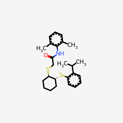 Cc1cccc(C)c1NC(=O)CS[C@@H]1CCCC[C@H]1Sc1ccccc1C(C)C